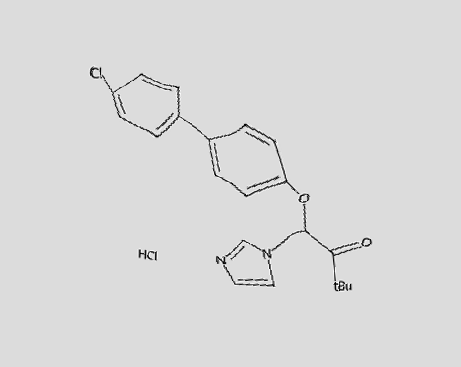 CC(C)(C)C(=O)C(Oc1ccc(-c2ccc(Cl)cc2)cc1)n1ccnc1.Cl